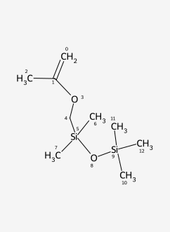 C=C(C)OC[Si](C)(C)O[Si](C)(C)C